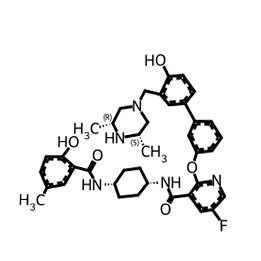 Cc1ccc(O)c(C(=O)N[C@H]2CC[C@@H](NC(=O)c3cc(F)cnc3Oc3cccc(-c4ccc(O)c(CN5C[C@@H](C)N[C@@H](C)C5)c4)c3)CC2)c1